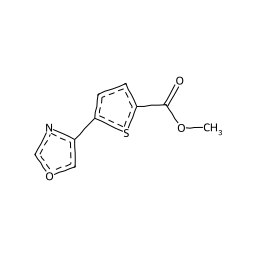 COC(=O)c1ccc(-c2cocn2)s1